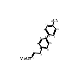 COC=CCc1ccc(-c2ccc(C#N)cc2)cc1